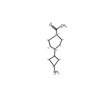 CC(=O)N1CCN(C2CC(N)C2)CC1